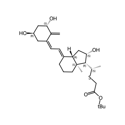 C=C1C(=CC=C2CCC[C@]3(C)[C@@H]([C@H](C)SCC(=O)OC(C)(C)C)[C@@H](O)C[C@@H]23)C[C@@H](O)C[C@@H]1O